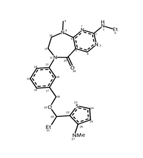 CCNc1ncc2c(n1)N(C)CCN(c1cccc(COC(CC)c3sccc3NC)c1)C2=O